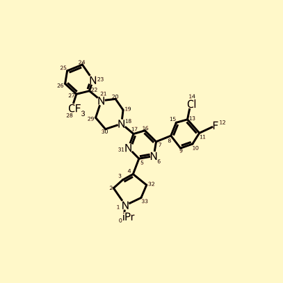 CC(C)N1CC=C(c2nc(-c3ccc(F)c(Cl)c3)cc(N3CCN(c4ncccc4C(F)(F)F)CC3)n2)CC1